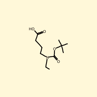 CCN(CCCC(=O)O)C(=O)OC(C)(C)C